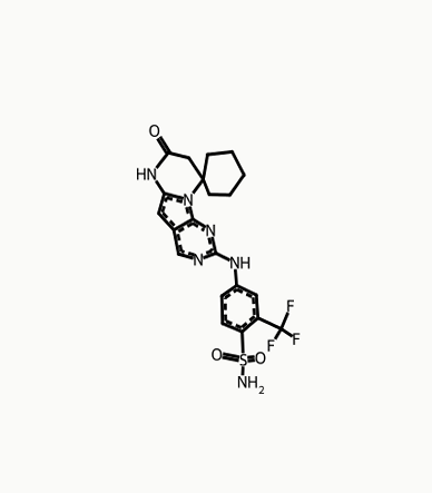 NS(=O)(=O)c1ccc(Nc2ncc3cc4n(c3n2)C2(CCCCC2)CC(=O)N4)cc1C(F)(F)F